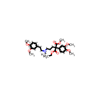 CCOC(=O)C(CCCN(C)CCc1ccc(OC)c(OC)c1)(C(=O)OC)c1ccc(OC)c(OC)c1